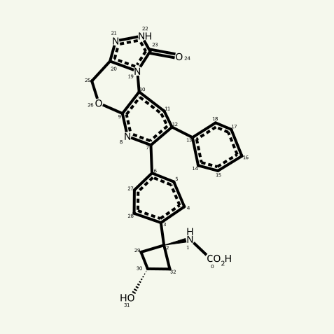 O=C(O)N[C@]1(c2ccc(-c3nc4c(cc3-c3ccccc3)-n3c(n[nH]c3=O)CO4)cc2)C[C@@H](O)C1